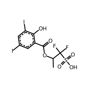 CC(OC(=O)c1cc(I)cc(I)c1O)C(F)(F)S(=O)(=O)O